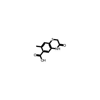 Cc1cc2c(cc1C(=O)O)NC(=O)CS2